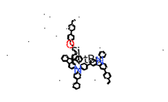 C=CC1=CCC(c2ccc(OCC[SiH](C)CCC3(c4ccc(C(C)(C)C)cc4)c4ccccc4-c4ccc(N(C5=CC=C(C6=CC=CCC6)CC5)C5=CC=C(c6ccc7c(c6)c6cc(C8=CCC(C=C)C=C8)ccc6n7-c6ccccc6)CC5)cc43)cc2)C=C1